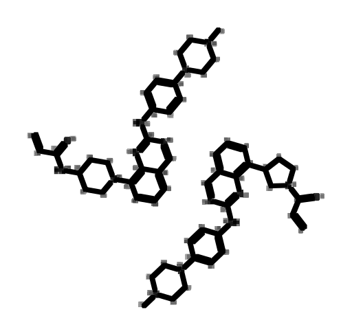 C=CC(=O)N1CCC(c2cccc3cnc(Nc4ccc(N5CCN(C)CC5)cc4)nc23)C1.C=CC(=O)NC1CCN(c2cccc3cnc(Nc4ccc(N5CCN(C)CC5)cc4)nc23)CC1